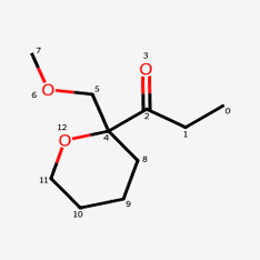 CCC(=O)C1(COC)CCCCO1